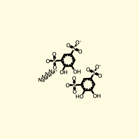 O=S(=O)([O-])c1cc(O)c(O)c(S(=O)(=O)[O-])c1.O=S(=O)([O-])c1cc(O)c(O)c(S(=O)(=O)[O-])c1.[Na+].[Na+].[Na+].[Na+]